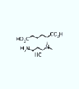 CN(C)CCCN.Cl.O=C(O)CCCCC(=O)O